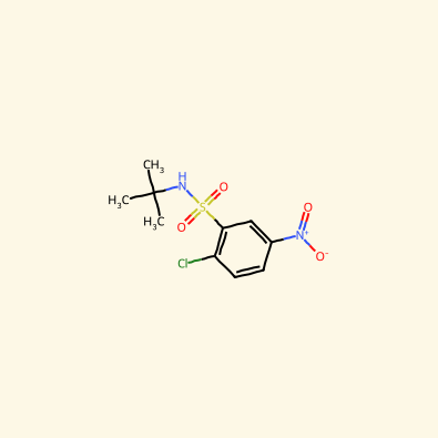 CC(C)(C)NS(=O)(=O)c1cc([N+](=O)[O-])ccc1Cl